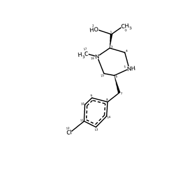 CC(O)[C@H]1CN[C@@H](Cc2ccc(Cl)cc2)CN1C